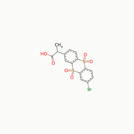 CC(C(=O)O)c1ccc2c(c1)S(=O)(=O)c1cc(Br)ccc1S2(=O)=O